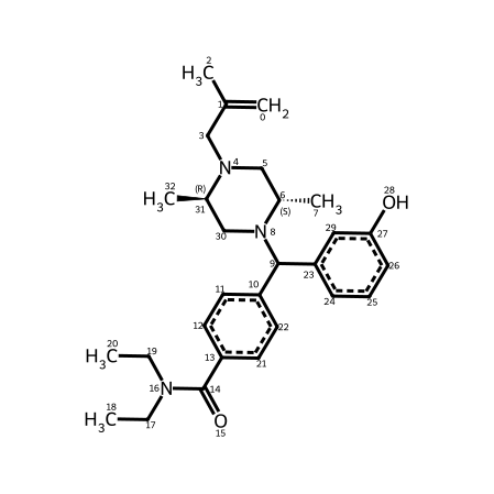 C=C(C)CN1C[C@H](C)N(C(c2ccc(C(=O)N(CC)CC)cc2)c2cccc(O)c2)C[C@H]1C